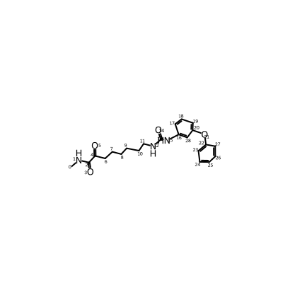 CNC(=O)C(=O)CCCCCCNC(=O)Nc1cccc(Oc2ccccc2)c1